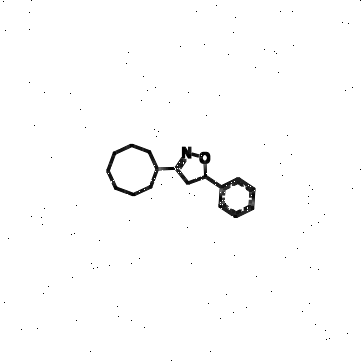 c1ccc(C2CC(C3CCCCCCC3)=NO2)cc1